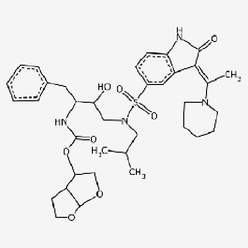 C/C(=C1\C(=O)Nc2ccc(S(=O)(=O)N(CC(C)C)CC(O)C(Cc3ccccc3)NC(=O)OC3COC4OCCC34)cc21)N1CCCCC1